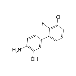 Nc1ccc(-c2cccc(Cl)c2F)cc1O